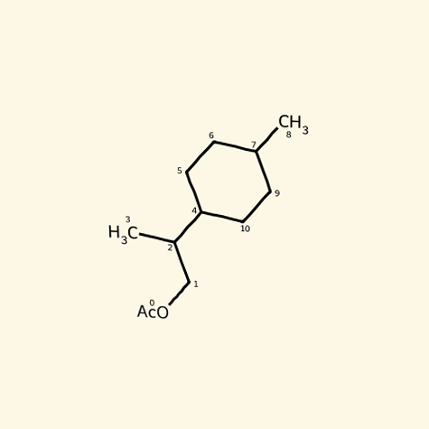 CC(=O)OCC(C)C1CCC(C)CC1